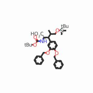 CC(CO[Si](C)(C)C(C)(C)C)C(c1ccc(OCc2ccccc2)c(OCc2ccccc2)c1)[C@H](NC(=O)OC(C)(C)C)C(=O)O